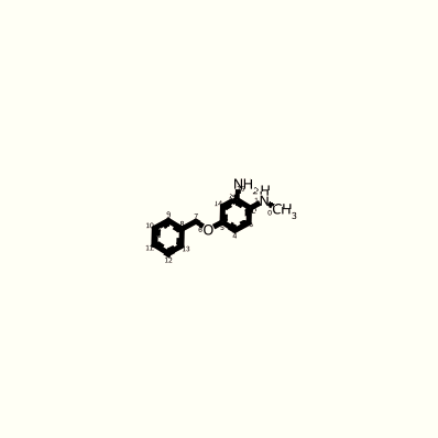 CNc1ccc(OCc2ccccc2)cc1N